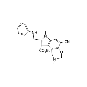 CCOC(=O)c1c(CNc2ccccc2)n(C)c2cc(C#N)c3c(c12)CN(C)CO3